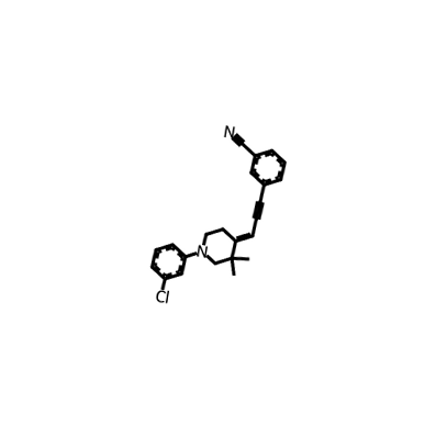 CC1(C)CN(c2cccc(Cl)c2)CC/C1=C\C#Cc1cccc(C#N)c1